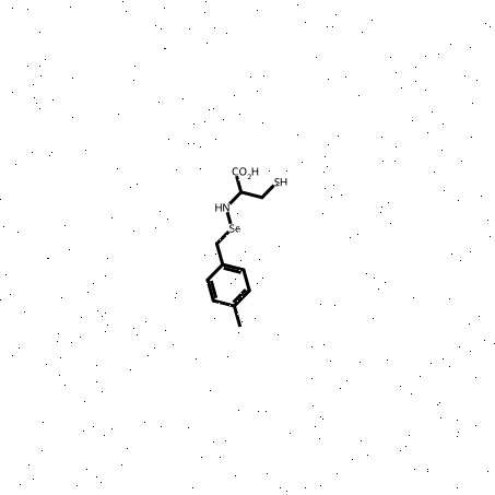 Cc1ccc(C[Se]NC(CS)C(=O)O)cc1